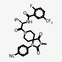 CC(C)[C@@H](NC(=O)c1cc(C(F)(F)F)ccc1F)C(=O)N1CCC2(CC1)C(=O)N(C)C(=O)N2c1ccc(C#N)cc1